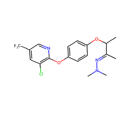 CC(=NN(C)C)C(C)Oc1ccc(Oc2ncc(C(F)(F)F)cc2Cl)cc1